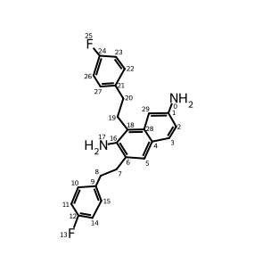 Nc1ccc2cc(CCc3ccc(F)cc3)c(N)c(CCc3ccc(F)cc3)c2c1